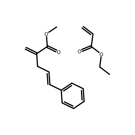 C=C(CC=Cc1ccccc1)C(=O)OC.C=CC(=O)OCC